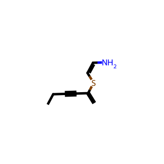 C=C(C#CCC)S/C=C\N